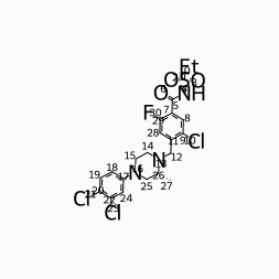 CCS(=O)(=O)NC(=O)c1cc(Cl)c(CN2CCN(c3ccc(Cl)c(Cl)c3)C[C@H]2C)cc1F